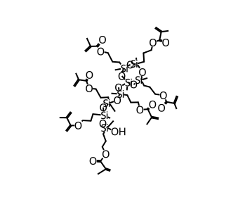 C=C(C)C(=C)OCCC[Si](C)(O[Si](C)(O)CCCOC(=O)C(=C)C)O[Si](C)(CCCOC(=O)C(=C)C)O[Si](C)(CCCOC(=O)C(=C)C)O[Si]1(C)O[Si](C)(CCCOC(=O)C(=C)C)O[Si](C)(CCCOC(=O)C(=C)C)O[Si](C)(CCCOC(=O)C(=C)C)O1